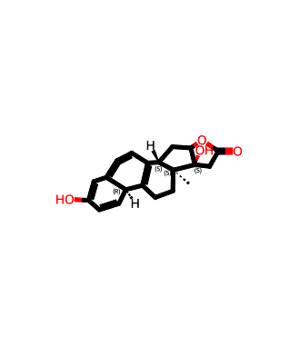 C[C@]12CCC3=C(C=C=C4C=C(O)C=C[C@@H]43)[C@@H]1CC1OC(=O)C[C@@]12O